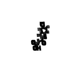 Cc1cc2sc(C(=O)CCC(=O)O)cc2cc1Cl